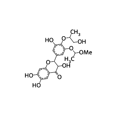 COC(C)Oc1cc(C2Oc3cc(O)c(O)cc3C(=O)C2O)cc(O)c1OC(C)CO